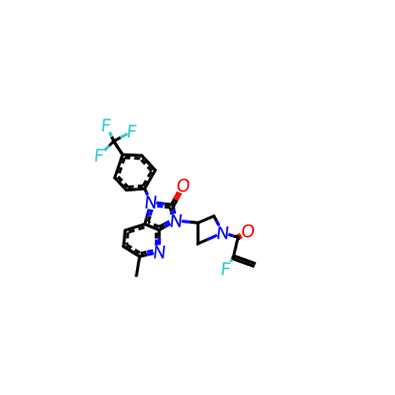 C=C(F)C(=O)N1CC(n2c(=O)n(-c3ccc(C(F)(F)F)cc3)c3ccc(C)nc32)C1